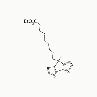 CCOC(=O)CCCCCCCCC1(C)c2ccsc2-c2sccc21